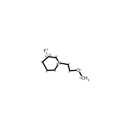 COCCN1CCC[C@H](F)C1